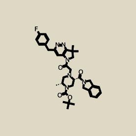 C[C@@H]1CN(CC(=O)N2CC(C)(C)c3nnc(Cc4ccc(F)cc4)cc32)[C@H](C(=O)N2Cc3ccccc3C2)CN1C(=O)OC(C)(C)C